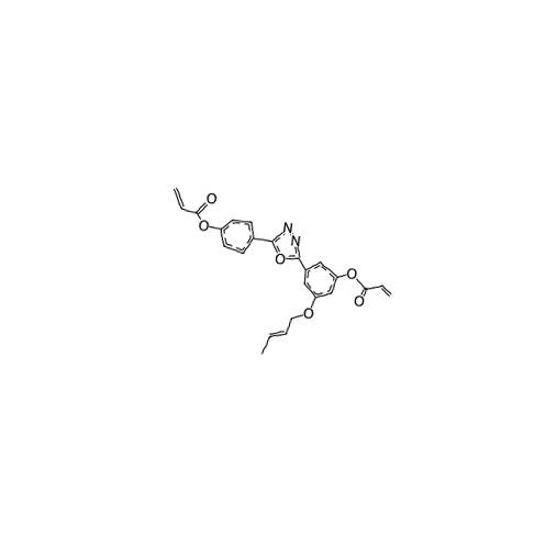 C=CC(=O)Oc1ccc(-c2nnc(-c3cc(OC/C=C/C)cc(OC(=O)C=C)c3)o2)cc1